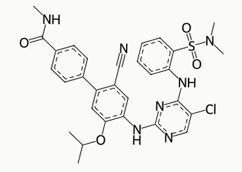 CNC(=O)c1ccc(-c2cc(OC(C)C)c(Nc3ncc(Cl)c(Nc4ccccc4S(=O)(=O)N(C)C)n3)cc2C#N)cc1